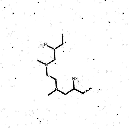 CCC(N)CN(C)CCN(C)CC(N)CC